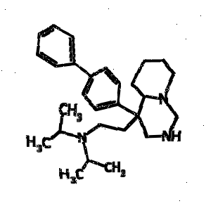 CC(C)N(CCC1(c2ccc(-c3ccccc3)cc2)CNCN2CCCCC21)C(C)C